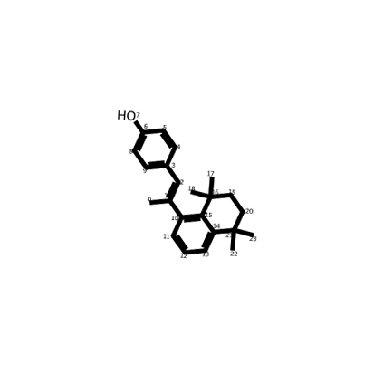 CC(=Cc1ccc(O)cc1)c1cccc2c1C(C)(C)CCC2(C)C